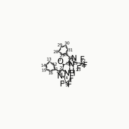 O=C(c1[nH]c(C(F)(F)F)nc1-c1ccccc1)c1[nH]c(C(F)(F)F)nc1-c1ccccc1